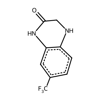 O=C1CNc2ccc(C(F)(F)F)cc2N1